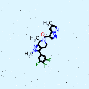 Cc1cnn2ncc(C(=O)N3CCc4c(nn(C)c4-c4cc(F)c(F)c(F)c4)[C@@H]3C)c2c1